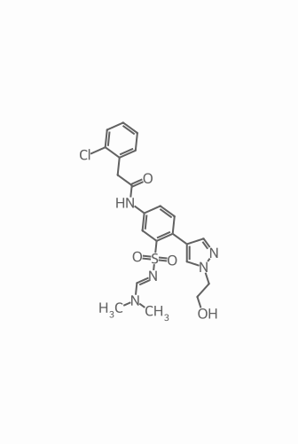 CN(C)/C=N/S(=O)(=O)c1cc(NC(=O)Cc2ccccc2Cl)ccc1-c1cnn(CCO)c1